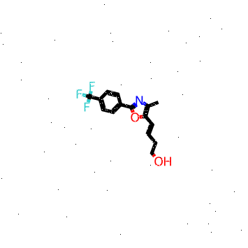 Cc1nc(-c2ccc(C(F)(F)F)cc2)oc1C=CCCO